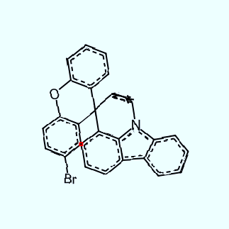 Brc1ccc2c(c1)C1(c3ccccc3O2)c2ccccc2-n2c3ccccc3c3cccc1c32